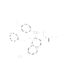 CCCc1ccc(Nc2nc3ccccc3cc2NC(=O)COCC)c(OCc2ccccc2)c1.Cl